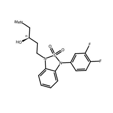 CNC[C@H](O)CCN1c2ccccc2N(c2ccc(F)c(F)c2)S1(=O)=O